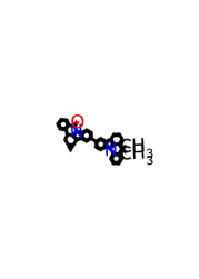 CC1(C)c2ccccc2-n2c3c(c4cc(-c5ccc6c(c5)c5c7n6C(=O)c6ccccc6C7CC6CC56)ccc42)C=CCC31